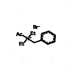 CC[N+](CC)(Cc1ccccc1)C(C)=O.[Br-]